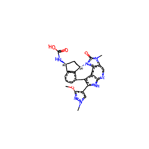 COc1nn(C)cc1-c1[nH]c2ncc3c(c2c1-c1ccccc1)n([C@@H]1CC[C@@H](NC(=O)O)C1)c(=O)n3C